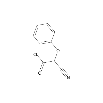 N#CC(Oc1ccccc1)C(=O)Cl